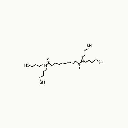 S=C(CCCCCCCCC(=S)N(CCCCS)CCCCS)N(CCCCS)CCCCS